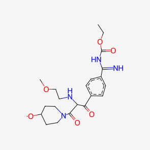 CCOC(=O)NC(=N)c1ccc(C(=O)C(NCCOC)C(=O)N2CCC([O])CC2)cc1